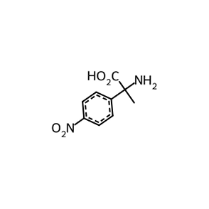 CC(N)(C(=O)O)c1ccc([N+](=O)[O-])cc1